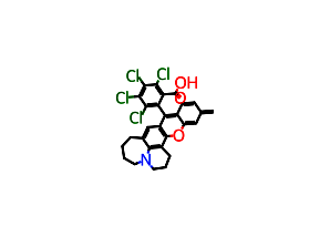 C=c1ccc2c(c1)Oc1c(cc3c4c1CCCN4CCCC3)C=2c1c(Cl)c(Cl)c(Cl)c(Cl)c1C(=O)O